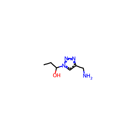 CCC(O)n1cc(CN)nn1